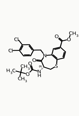 COC(=O)c1ccc2c(c1)N(Cc1ccc(Cl)c(Cl)c1)C(=O)[C@@H](NC(=O)OC(C)(C)C)CS2